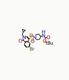 CC(C)(C)OC(=O)NC1CCN(S(=O)(=O)c2cn(CC3CC3)c(=O)c3ccc(Br)cc23)CC1